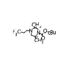 C[C@@H]1CN(C(=O)OC(C)(C)C)[C@@H](C)CN1CCC(F)(F)F